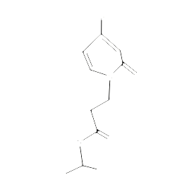 CC(C)NC(=O)CCn1ccc(Br)cc1=O